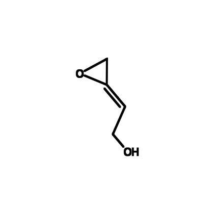 OCC=C1CO1